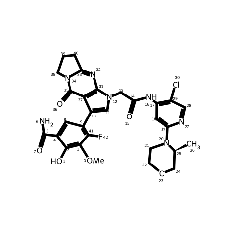 COc1c(O)c(C(N)=O)cc(-c2cn(CC(=O)Nc3cc(N4CCOC[C@@H]4C)ncc3Cl)c3nc4n(c(=O)c23)CCC4)c1F